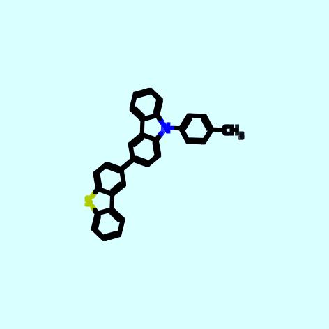 Cc1ccc(-n2c3ccccc3c3cc(-c4ccc5sc6ccccc6c5c4)ccc32)cc1